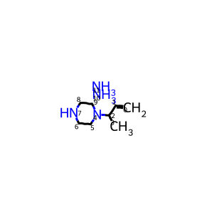 C=CC(C)N1CCNCC1.N.N